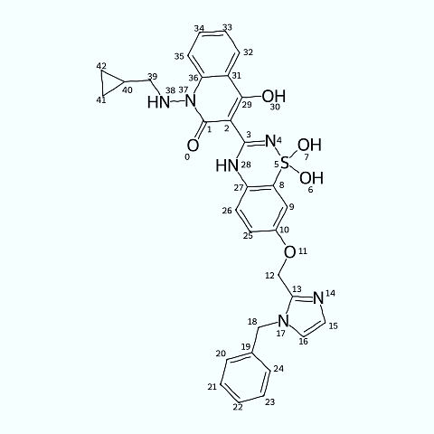 O=c1c(C2=NS(O)(O)c3cc(OCc4nccn4Cc4ccccc4)ccc3N2)c(O)c2ccccc2n1NCC1CC1